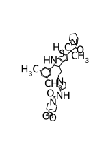 Cc1cc(C)cc(C2Nc3sc(C(C)(C)C(=O)N4C5CCC4CC5)cc3C2CCN2CCC(NC(=O)N3CCS(=O)(=O)CC3)C2)c1